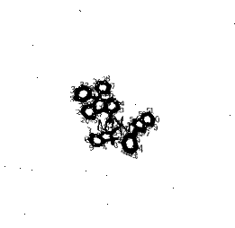 CC1(C)c2ccccc2-c2nc(-c3cccc4c3-c3ccccc3C4(c3ccccc3)c3ccccc3)nc(-n3c4ccccc4c4cc5ccccc5cc43)c21